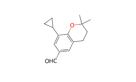 CC1(C)CCc2cc(C=O)cc(C3CC3)c2O1